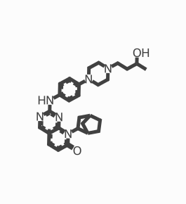 CC(O)CCN1CCN(c2ccc(Nc3ncc4ccc(=O)n(C5CC6CCC5C6)c4n3)cc2)CC1